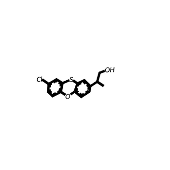 CC(CO)c1ccc2c(c1)Sc1cc(Cl)ccc1O2